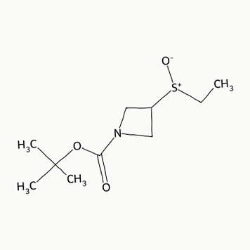 CC[S+]([O-])C1CN(C(=O)OC(C)(C)C)C1